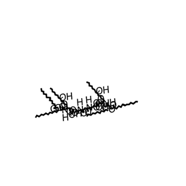 CCCCCC/C=C/CCCC(=O)O[C@H](CCCCCCCCCCC)CC(=O)NC(COCC[C@H](O)CCCCCCC)COP(=O)(O)OCCNC(=O)CC(=O)NCCOP(=O)(O)OCC(COCC[C@H](O)CCCCCCC)NC(=O)C[C@@H](CCCCCCCCCCC)OC(=O)CCC/C=C/CCCCCC